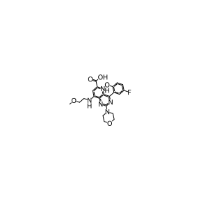 COCCNc1cc(C(=O)O)nc2c(-c3cc(F)ccc3O)nc(N3CCOCC3)nc12